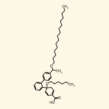 CCCCCCCCCCCCCCCCOC(C)c1ccc(-c2ccccc2C2(OCCCCCC)C=CC(C(=O)O)=CC2)cc1